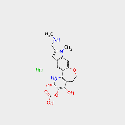 CNCc1cc2cc3c(cc2n1C)OCCc1c-3[nH]c(=O)c(OC(=O)O)c1O.Cl